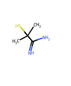 CC(C)(S)C(=N)N